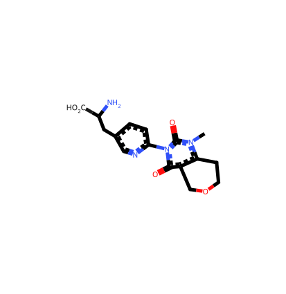 Cn1c2c(c(=O)n(-c3ccc(CC(N)C(=O)O)cn3)c1=O)COCC2